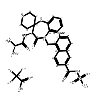 CN[C@@H](C)C(=O)N[C@@H]1C(=O)N(Cc2c(OC)ccc3cc(C(=O)NS(C)(=O)=O)ccc23)c2ccccc2OC12CCOCC2.O=C(O)C(F)(F)F